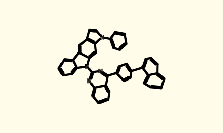 c1ccc(-n2ccc3cc4c5ccccc5n(-c5nc(-c6ccc(-c7cccc8ccccc78)cc6)c6ccccc6n5)c4cc32)cc1